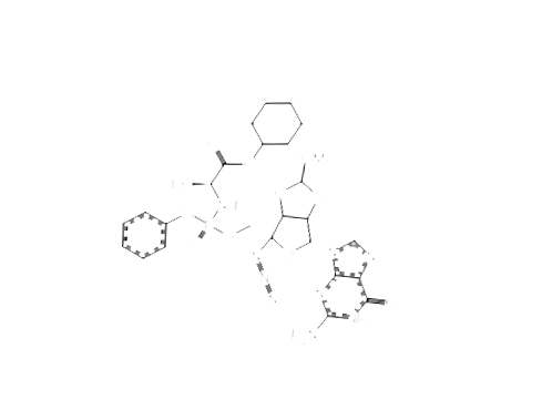 COC1OC2C(O1)[C@](COP(=O)(N[C@@H](C)C(=O)OC1CCCCC1)Oc1ccccc1)(N=[N+]=[N-])O[C@H]2n1cnc2c(=O)[nH]c(N)nc21